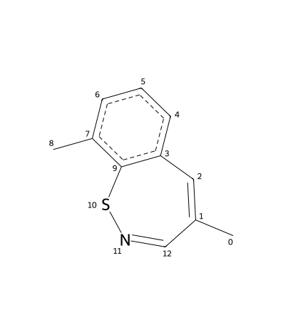 CC1=Cc2cccc(C)c2SN=C1